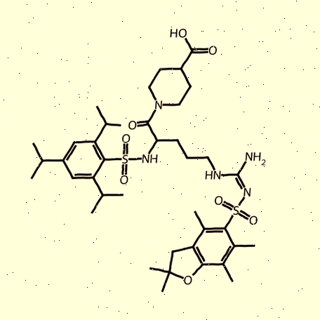 Cc1c(C)c(S(=O)(=O)/N=C(/N)NCCCC(NS(=O)(=O)c2c(C(C)C)cc(C(C)C)cc2C(C)C)C(=O)N2CCC(C(=O)O)CC2)c(C)c2c1OC(C)(C)C2